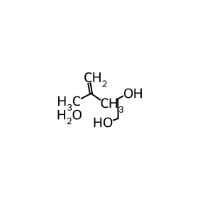 C=C(C)C.O.OCCO